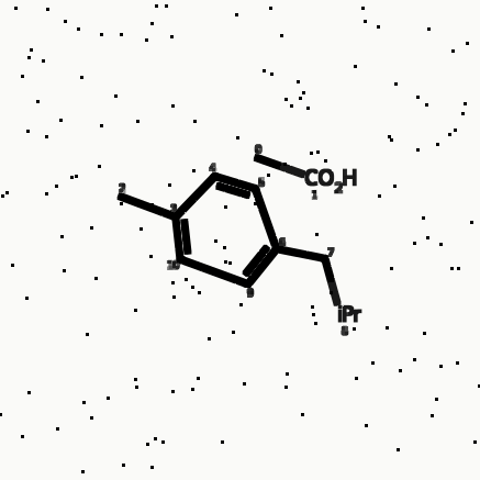 CC(=O)O.Cc1ccc(CC(C)C)cc1